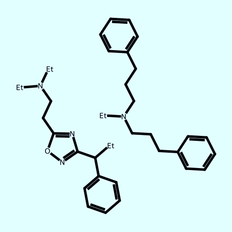 CCC(c1ccccc1)c1noc(CCN(CC)CC)n1.CCN(CCCc1ccccc1)CCCc1ccccc1